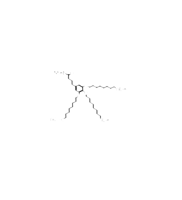 CCCCCCCCCCCCCCCCCCOc1cc(CCCC(=O)NC)cc(OCCCCCCCCCCCCCCCCCC)c1OCCCCCCCCCCCCCCCCCC